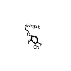 CCCCCCCCCOc1ccc(F)c(C#N)c1F